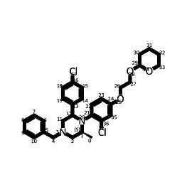 C[C@H]1CN(Cc2ccccc2)CC(c2ccc(Cl)cc2)N1c1ccc(OCCOC2CCCCO2)cc1Cl